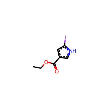 CCOC(=O)c1c[nH]c(I)c1